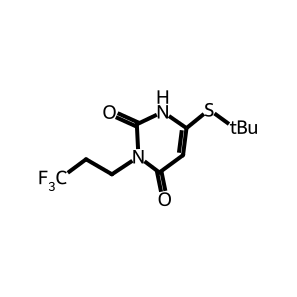 CC(C)(C)Sc1cc(=O)n(CCC(F)(F)F)c(=O)[nH]1